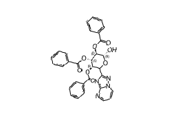 O=C(O[C@@H]1[C@@H](OC(=O)c2ccccc2)[C@H](OC(=O)c2ccccc2)C(c2nc3ncccn3n2)O[C@H]1O)c1ccccc1